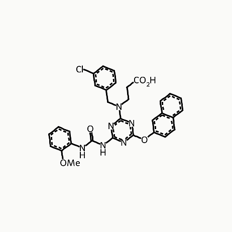 COc1ccccc1NC(=O)Nc1nc(Oc2ccc3ccccc3c2)nc(N(CCC(=O)O)Cc2cccc(Cl)c2)n1